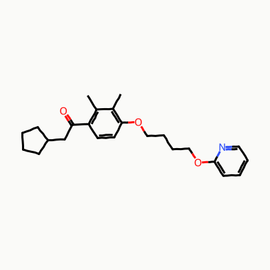 Cc1c(OCCCCOc2ccccn2)ccc(C(=O)CC2CCCC2)c1C